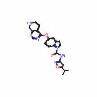 CC(C)c1cc(NC(=O)n2ccc3cc(Oc4ncnc5c4CCNC5)ccc32)no1